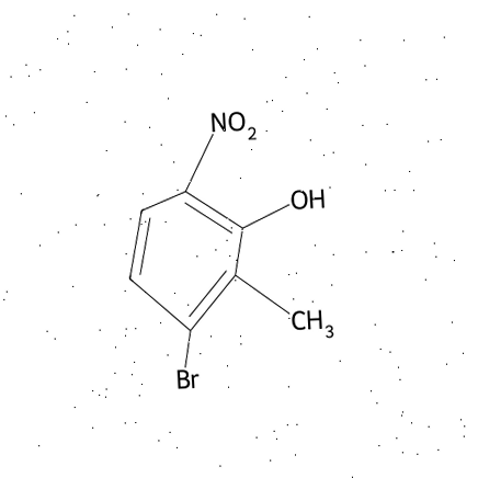 Cc1c(Br)ccc([N+](=O)[O-])c1O